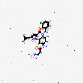 C[C@H](N)CC(=O)NC1CCC(N(Cc2ccccc2)C(=O)c2cc(C3CC3)on2)CC1